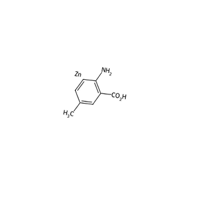 Cc1ccc(N)c(C(=O)O)c1.[Zn]